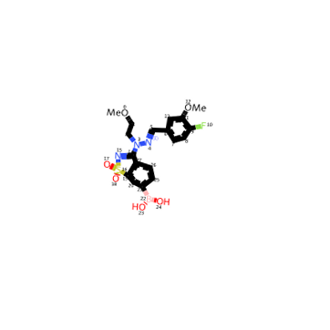 COCCN(/N=C/c1ccc(F)c(OC)c1)C1=NS(=O)(=O)c2cc(B(O)O)ccc21